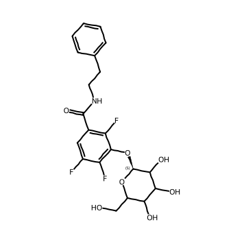 O=C(NCCc1ccccc1)c1cc(F)c(F)c(O[C@@H]2OC(CO)C(O)C(O)C2O)c1F